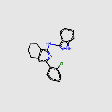 Clc1ccccc1-c1cc2c(c(Nc3n[nH]c4ccccc34)n1)CCCC2